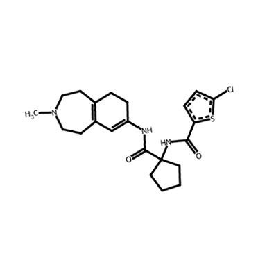 CN1CCC2=C(CCC(NC(=O)C3(NC(=O)c4ccc(Cl)s4)CCCC3)=C2)CC1